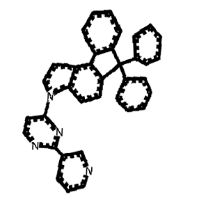 c1ccc(C2(c3ccccc3)c3ccccc3-c3c2ccc2c3ccn2-c2ccnc(-c3cccnc3)n2)cc1